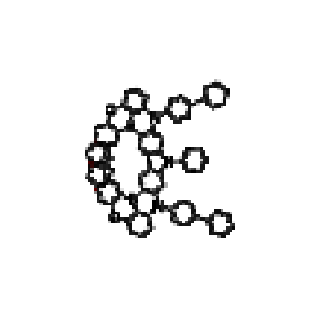 c1ccc(-c2ccc(N3c4cc5c(cc4B4c6cc(-c7ccccc7)ccc6Oc6cccc3c64)c3cc4c(cc3n5-c3ccccc3)N(c3ccc(-c5ccccc5)cc3)c3cccc5c3B4c3cc(-c4ccccc4)ccc3O5)cc2)cc1